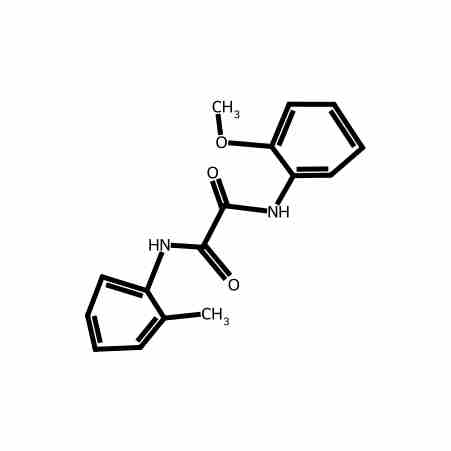 COc1ccccc1NC(=O)C(=O)Nc1ccccc1C